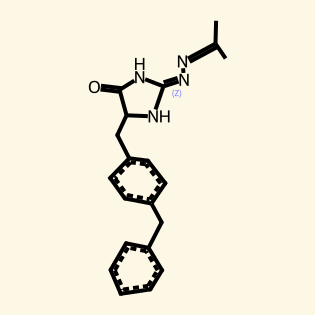 CC(C)=N/N=C1\NC(=O)C(Cc2ccc(Cc3ccccc3)cc2)N1